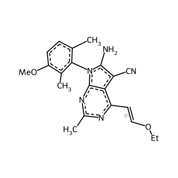 CCO/C=C/c1nc(C)nc2c1c(C#N)c(N)n2-c1c(C)ccc(OC)c1C